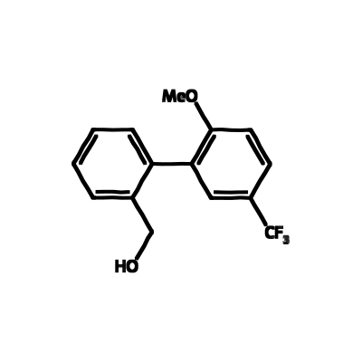 COc1ccc(C(F)(F)F)cc1-c1ccccc1CO